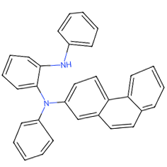 c1ccc(Nc2ccccc2N(c2ccccc2)c2ccc3c(ccc4ccccc43)c2)cc1